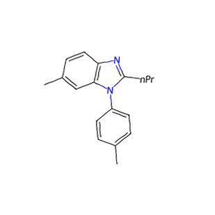 CCCc1nc2ccc(C)cc2n1-c1ccc(C)cc1